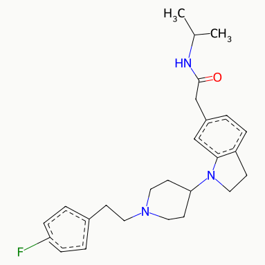 CC(C)NC(=O)Cc1ccc2c(c1)N(C1CCN(CCc3ccc(F)cc3)CC1)CC2